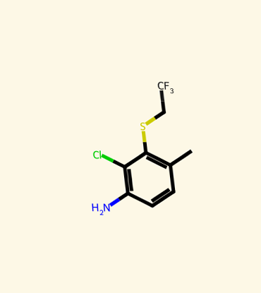 Cc1ccc(N)c(Cl)c1SCC(F)(F)F